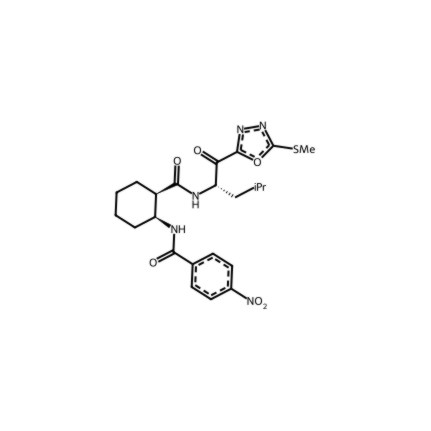 CSc1nnc(C(=O)[C@H](CC(C)C)NC(=O)[C@@H]2CCCC[C@@H]2NC(=O)c2ccc([N+](=O)[O-])cc2)o1